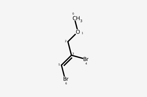 COCC(Br)=CBr